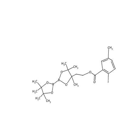 Cc1ccc(I)c(C(=O)OCCC2(C)OB(B3OC(C)(C)C(C)(C)O3)OC2(C)C)c1